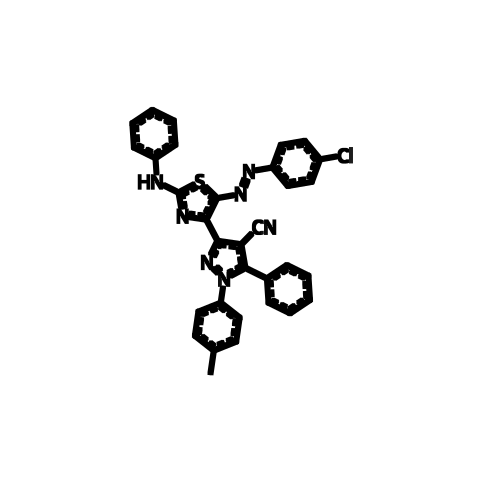 Cc1ccc(-n2nc(-c3nc(Nc4ccccc4)sc3N=Nc3ccc(Cl)cc3)c(C#N)c2-c2ccccc2)cc1